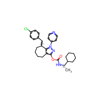 C[C@H](NC(=O)Oc1nn(-c2ccncc2)c2c1CCCC/C2=C\c1ccc(Cl)cc1)C1CCCCC1